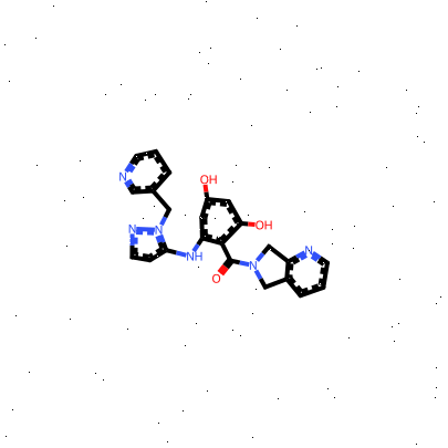 O=C(c1c(O)cc(O)cc1Nc1ccnn1Cc1cccnc1)N1Cc2cccnc2C1